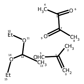 C=C(C)C=O.CC(=O)C(C)=O.CCOC(C)OCC